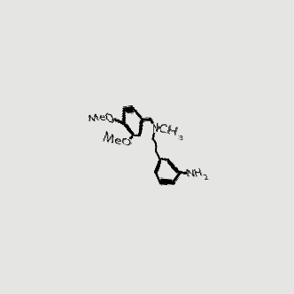 COc1ccc(CN(C)CCCc2cccc(N)c2)cc1OC